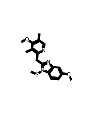 COc1ccc2c(c1)nc(Cc1ncc(C)c(OC)c1C)n2SC